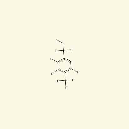 CCC(F)(F)c1cc(F)c(C(F)(F)F)c(F)c1F